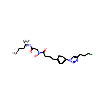 O=C(O)CC[C@H](NC(=O)CN(O)C(=O)CCCc1ccc(-n2cc(CCCF)nn2)cc1)C(=O)O